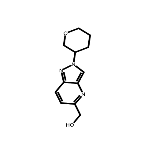 OCc1ccc2nn(C3CCCOC3)cc2n1